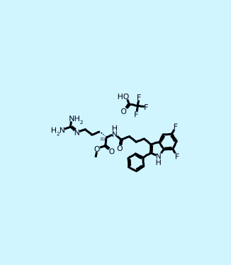 COC(=O)[C@H](CCCN=C(N)N)NC(=O)CCCc1c(-c2ccccc2)[nH]c2c(F)cc(F)cc12.O=C(O)C(F)(F)F